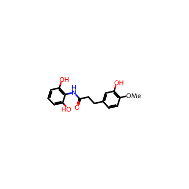 COc1ccc(CCC(=O)Nc2c(O)cccc2O)cc1O